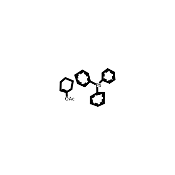 CC(=O)OC1=CCCCC1.c1cc[c]([Pb]([c]2ccccc2)[c]2ccccc2)cc1